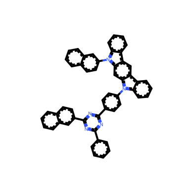 c1ccc(-c2nc(-c3ccc(-n4c5ccccc5c5cc6c7ccccc7n(-c7ccc8ccccc8c7)c6cc54)cc3)nc(-c3ccc4ccccc4c3)n2)cc1